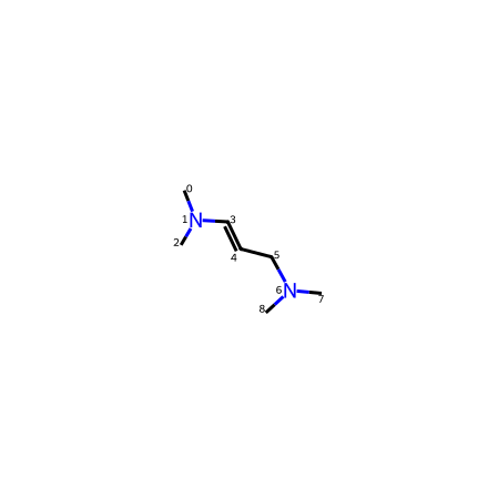 CN(C)C=CCN(C)C